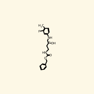 Cc1ccc(NC[C@@H](O)CCNC(=O)OCc2ccccc2)cc1F